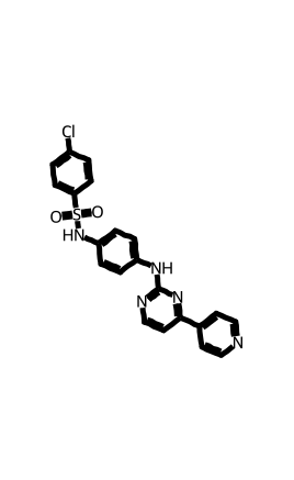 O=S(=O)(Nc1ccc(Nc2nccc(-c3ccncc3)n2)cc1)c1ccc(Cl)cc1